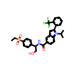 CCS(=O)(=O)c1ccc(C(CO)NC(=O)c2ccc3c(c2)cc(-c2ccccc2C(F)(F)F)n3C(C)C)cc1